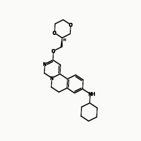 C1=C2c3ccc(NC4CCCCC4)cc3CCN2CN=C1OC[C@@H]1COCCO1